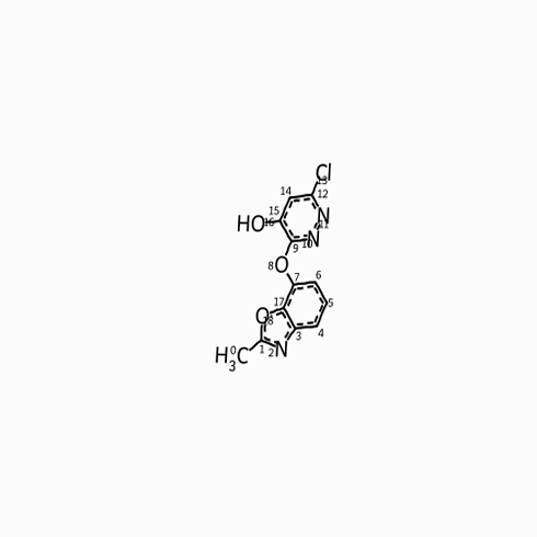 Cc1nc2cccc(Oc3nnc(Cl)cc3O)c2o1